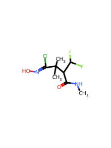 CNC(=O)C(C(F)F)C(C)(C)/C(Cl)=N/O